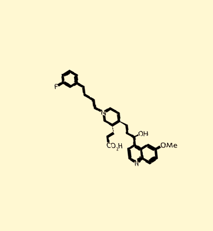 COc1ccc2nccc([C@H](O)CC[C@@H]3CCN(CCCCc4cccc(F)c4)C[C@H]3CCC(=O)O)c2c1